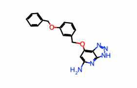 Nc1cc(OCc2cccc(OCc3ccccc3)c2)c2nn[nH]c2n1